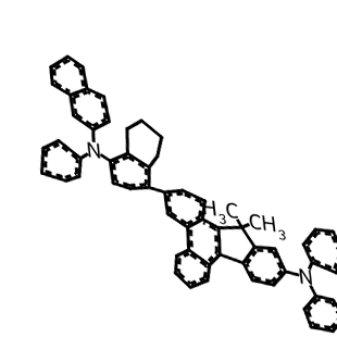 CC1(C)c2cc(N(c3ccccc3)c3ccccc3)ccc2-c2c1c1ccc(-c3ccc(N(c4ccccc4)c4ccc5ccccc5c4)c4c3CCCC4)cc1c1ccccc21